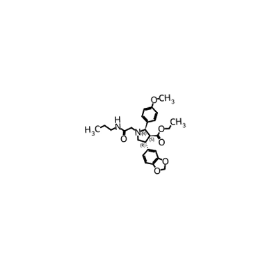 CCCNC(=O)CN1C[C@@H](c2ccc3c(c2)OCO3)[C@H](C(=O)OCC)[C@@H]1c1ccc(OC)cc1